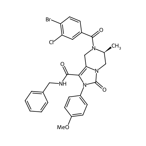 COc1ccc(-n2c(C(=O)NCc3ccccc3)c3n(c2=O)C[C@H](C)N(C(=O)c2ccc(Br)c(Cl)c2)C3)cc1